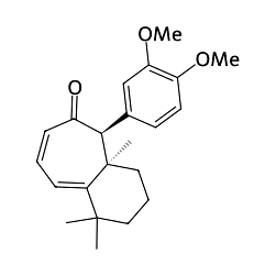 COc1ccc([C@@H]2C(=O)C=CC=C3C(C)(C)CCC[C@@]32C)cc1OC